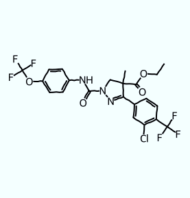 CCOC(=O)C1(C)CN(C(=O)Nc2ccc(OC(F)(F)F)cc2)N=C1c1ccc(C(F)(F)F)c(Cl)c1